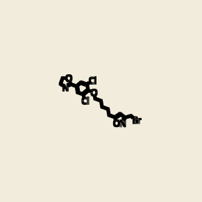 Clc1cc(C2=NCCO2)cc(Cl)c1OCCCCCc1cc(CBr)no1